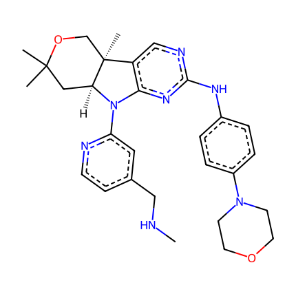 CNCc1ccnc(N2c3nc(Nc4ccc(N5CCOCC5)cc4)ncc3[C@]3(C)COC(C)(C)C[C@H]23)c1